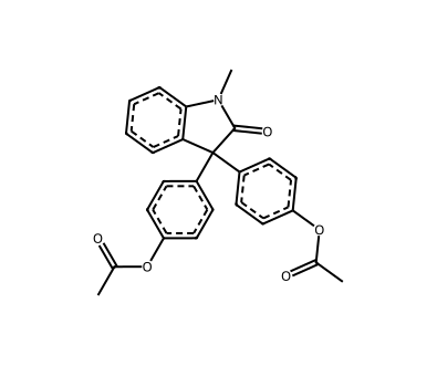 CC(=O)Oc1ccc(C2(c3ccc(OC(C)=O)cc3)C(=O)N(C)c3ccccc32)cc1